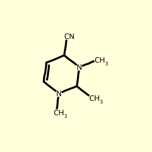 CC1N(C)C=CC(C#N)N1C